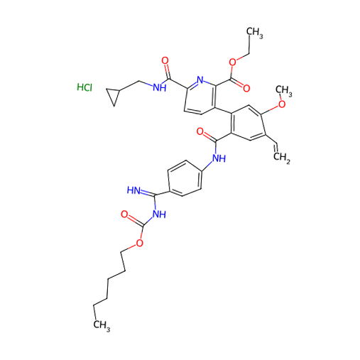 C=Cc1cc(C(=O)Nc2ccc(C(=N)NC(=O)OCCCCCC)cc2)c(-c2ccc(C(=O)NCC3CC3)nc2C(=O)OCC)cc1OC.Cl